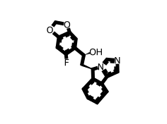 O[C@H](C[C@@H]1c2ccccc2-c2cncn21)c1cc2c(cc1F)OCO2